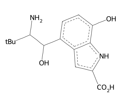 CC(C)(C)C(N)C(O)c1ccc(O)c2[nH]c(C(=O)O)cc12